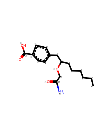 CCCCCCC(Cc1ccc(C(=O)O)cc1)OCC(N)=O